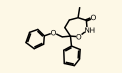 CC1CCC(COc2ccccc2)(c2ccccc2)ONC1=O